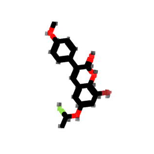 COc1ccc(-c2cc3cc(OC(C)F)cc(Br)c3oc2=O)cc1